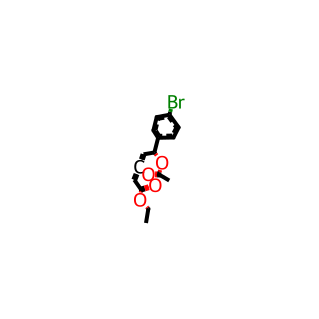 CCOC(=O)C=C=CC(OC(C)=O)c1ccc(Br)cc1